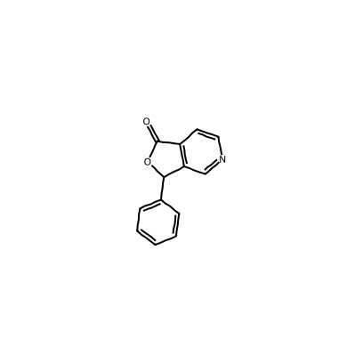 O=C1OC(c2ccccc2)c2cnccc21